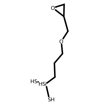 S[SiH](S)CCCOCC1CO1